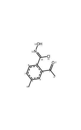 CC(=O)c1cc(C)ccc1C(Cl)=NO